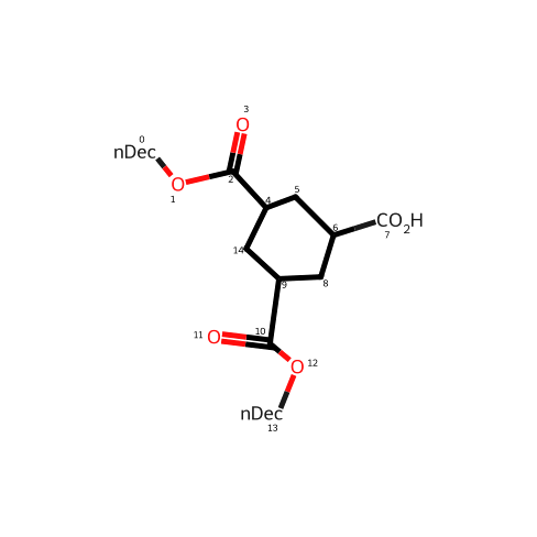 CCCCCCCCCCOC(=O)C1CC(C(=O)O)CC(C(=O)OCCCCCCCCCC)C1